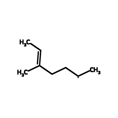 C[CH]CCC(C)=CC